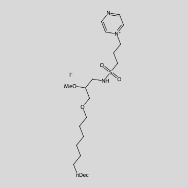 CCCCCCCCCCCCCCCCOCC(CNS(=O)(=O)CCC[n+]1ccncc1)OC.[I-]